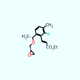 CCOC(=O)/C=C/c1c([C@@H](C)OC[C@H]2CO2)ccc(C)c1F